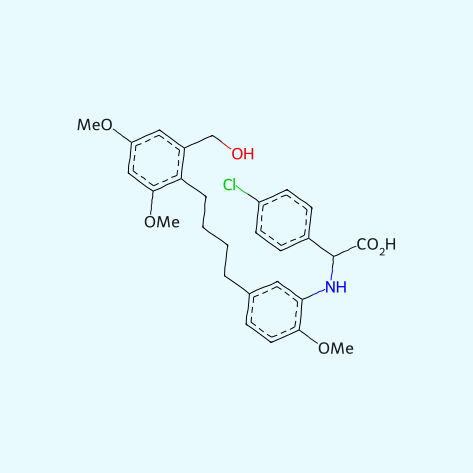 COc1cc(CO)c(CCCCc2ccc(OC)c(NC(C(=O)O)c3ccc(Cl)cc3)c2)c(OC)c1